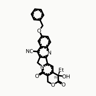 CC[C@@]1(O)C(=O)OCc2c1cc1n(c2=O)Cc2c-1nc1ccc(OCc3ccccc3)cc1c2C#N